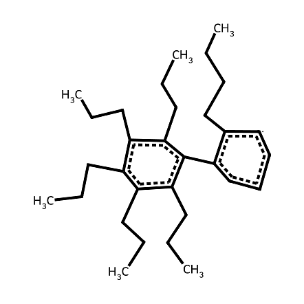 CCCCc1[c]cccc1-c1c(CCC)c(CCC)c(CCC)c(CCC)c1CCC